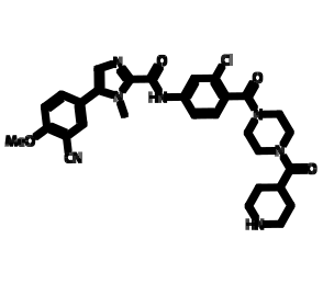 COc1ccc(-c2cnc(C(=O)Nc3ccc(C(=O)N4CCN(C(=O)C5CCNCC5)CC4)c(Cl)c3)n2C)cc1C#N